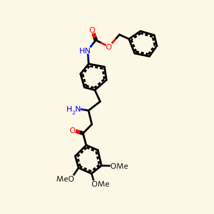 COc1cc(C(=O)CC(N)Cc2ccc(NC(=O)OCc3ccccc3)cc2)cc(OC)c1OC